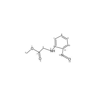 COC(=O)CNc1ccccc1N=O